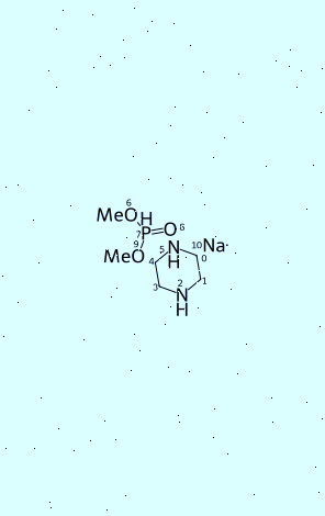 C1CNCCN1.CO[PH](=O)OC.[Na]